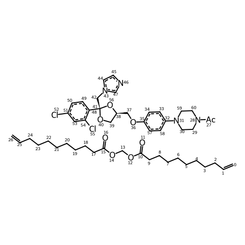 C=CCCCCCCCCC(=O)OCOC(=O)CCCCCCCCC=C.CC(=O)N1CCN(c2ccc(OC[C@H]3CO[C@](Cn4ccnc4)(c4ccc(Cl)cc4Cl)O3)cc2)CC1